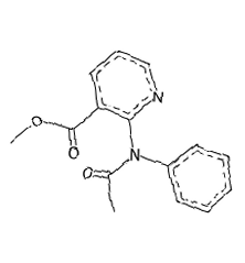 COC(=O)c1cccnc1N(C(C)=O)c1ccccc1